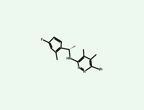 Cc1cc(F)ccc1[C@H](C)Nc1nnc(C(C)C)c(C)c1C